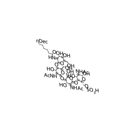 CCCCCCCCCCCCCCCC(=O)N[C@@H]1C(O)[C@H](O)[C@@H](CO)O[C@H]1O[C@H]1C(O)[C@@H](NC(C)=O)[C@H](O[C@H]2C(O)[C@H](NC(C)=O)[C@H](O[C@H]3C(O)[C@@H](NC(C)=O)C(O)O[C@@H]3COS(=O)(=O)O)O[C@@H]2CO)O[C@@H]1CO